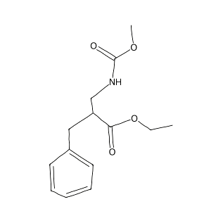 CCOC(=O)C(CNC(=O)OC)Cc1ccccc1